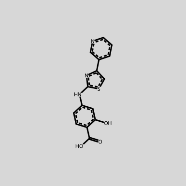 O=C(O)c1ccc(Nc2nc(-c3cccnc3)cs2)cc1O